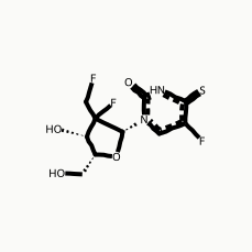 O=c1[nH]c(=S)c(F)cn1[C@@H]1O[C@H](CO)[C@H](O)C1(F)CF